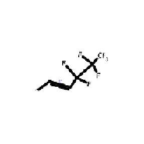 [CH2]/C=C/C(F)(F)C(F)(F)C(F)(F)F